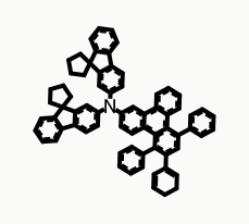 C1=CC(c2cc(-c3ccccc3)c3c4ccccc4c4cc(N(c5ccc6c(c5)C5(CCCC5)c5ccccc5-6)c5ccc6c(c5)C5(CCCC5)c5ccccc5-6)ccc4c3c2-c2ccccc2)=CCC1